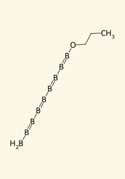 BB=BB=BB=BB=BOCCC